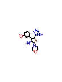 [C-]#[N+]c1c(N2CCOCC2)sc(-c2nnc[nH]2)c1-c1cccc(OC)c1